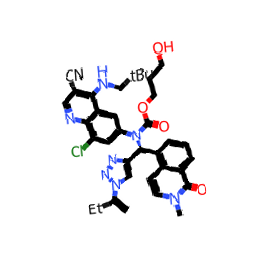 C=C(CC)n1cc([C@H](c2cccc3c(=O)n(C)ccc23)N(C(=O)OCCCO)c2cc(Cl)c3ncc(C#N)c(NCC(C)(C)C)c3c2)nn1